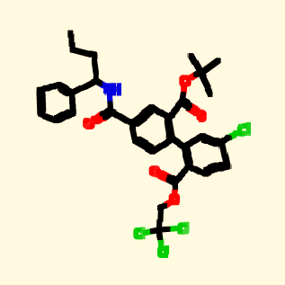 CCCC(NC(=O)c1ccc(-c2cc(Cl)ccc2C(=O)OCC(Cl)(Cl)Cl)c(C(=O)OC(C)(C)C)c1)c1ccccc1